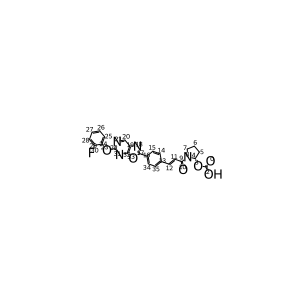 O=C(O)O[C@H]1CCCN1C(=O)/C=C/c1ccc(-c2nc3cnc(Oc4ccccc4F)nc3o2)cc1